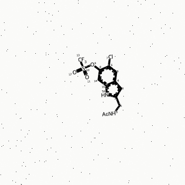 CC(=O)NCc1cc2cc(Cl)c(OS(=O)(=O)C(F)(F)F)cc2[nH]1